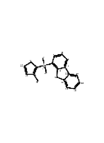 CC1=C([Si](C)(C)c2cccc3c2Cc2ccccc2-3)CC=C1